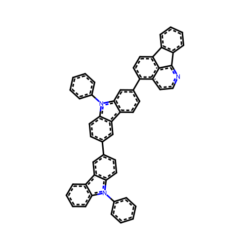 c1ccc(-n2c3ccccc3c3cc(-c4ccc5c(c4)c4ccc(-c6ccc7c8c(nccc68)-c6ccccc6-7)cc4n5-c4ccccc4)ccc32)cc1